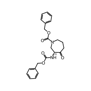 O=C(N[C@H]1CN(C(=O)OCc2ccccc2)CCCC1=O)OCc1ccccc1